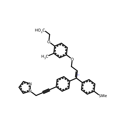 CSc1ccc(/C(=C/COc2ccc(OCC(=O)O)c(C)c2)c2ccc(C#CCn3cccn3)cc2)cc1